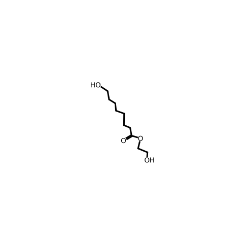 O=C(CCCCCCCO)OCCO